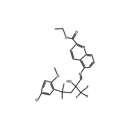 CCOC(=O)c1ccc2c(N=CC(O)(CC(C)(C)c3cc(Cl)ccc3OC)C(F)(F)F)cccc2n1